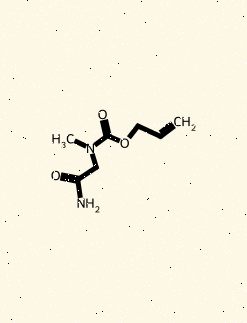 C=CCOC(=O)N(C)CC(N)=O